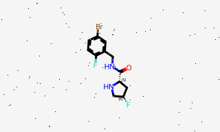 O=C(NCc1cc(Br)ccc1F)[C@@H]1C[C@@H](F)CN1